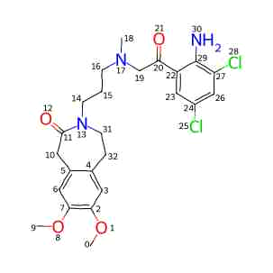 COc1cc2c(cc1OC)CC(=O)N(CCCN(C)CC(=O)c1cc(Cl)cc(Cl)c1N)CC2